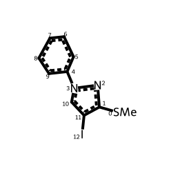 CSc1nn(-c2ccccc2)cc1I